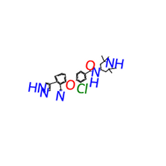 CC1(C)CC(NC(=O)c2ccc(Oc3cccc(-c4cn[nH]c4)c3C#N)c(Cl)c2)CC(C)(C)N1